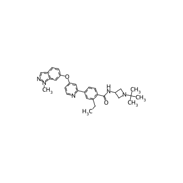 CCc1cc(-c2cc(Oc3ccc4cnn(C)c4c3)ccn2)ccc1C(=O)NC1CN(C(C)(C)C)C1